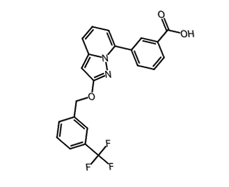 O=C(O)c1cccc(-c2cccc3cc(OCc4cccc(C(F)(F)F)c4)nn23)c1